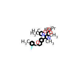 Cc1ccc(C[C@H]2CCc3cc(-c4c(C)nc(C)c(C(OC(C)(C)C)C(=O)OC(C)C)c4N4CCC(C)(C)CC4)ccc3O2)c(F)c1